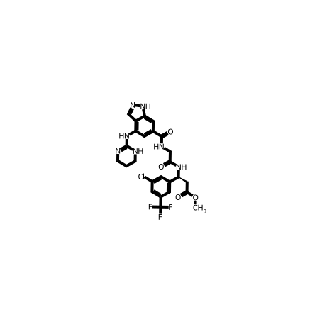 COC(=O)C[C@H](NC(=O)CNC(=O)c1cc(NC2=NCCCN2)c2cn[nH]c2c1)c1cc(Cl)cc(C(F)(F)F)c1